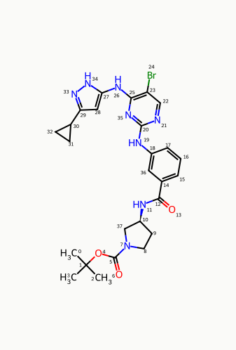 CC(C)(C)OC(=O)N1CC[C@H](NC(=O)c2cccc(Nc3ncc(Br)c(Nc4cc(C5CC5)n[nH]4)n3)c2)C1